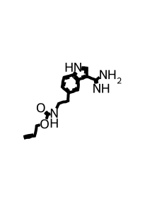 C=CCOC(=O)NCCc1ccc2[nH]cc(C(=N)N)c2c1